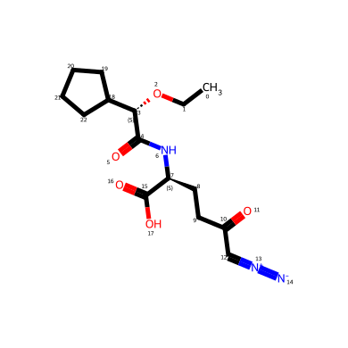 CCO[C@H](C(=O)N[C@@H](CCC(=O)C=[N+]=[N-])C(=O)O)C1CCCC1